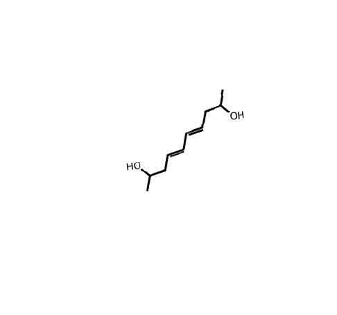 CC(O)CC=CC=CCC(C)O